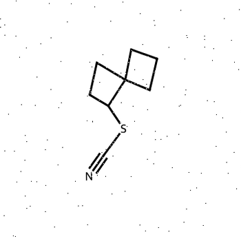 N#CSC1CCC12CCC2